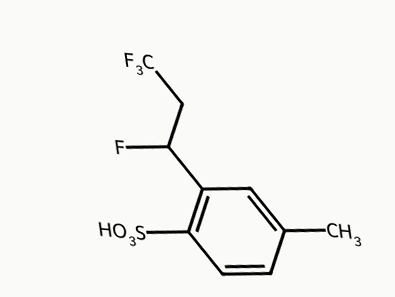 Cc1ccc(S(=O)(=O)O)c(C(F)CC(F)(F)F)c1